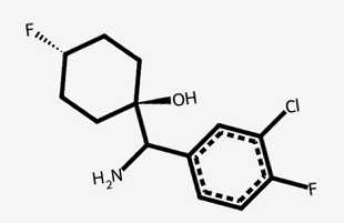 NC(c1ccc(F)c(Cl)c1)[C@]1(O)CC[C@H](F)CC1